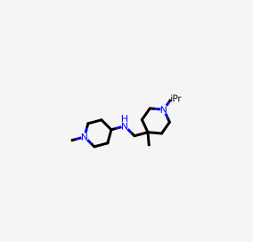 CC(C)N1CCC(C)(CNC2CCN(C)CC2)CC1